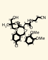 COc1cccc([C@H]2O[C@H](CC(=O)NCCC#N)C(=O)N(CC(C)(C)CO)c3ccc(Cl)cc32)c1OC